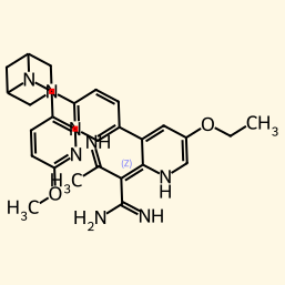 CCOC1=CN/C(=C(/C(C)=N)C(=N)N)C(c2ccc(N3CC4CC(C3)N4Cc3ccc(OC)nc3)nc2)=C1